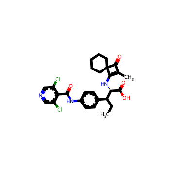 CCC(c1ccc(NC(=O)c2c(Cl)cncc2Cl)cc1)[C@H](NC1=C(C)C(=O)C12CCCCC2)C(=O)O